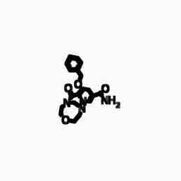 NC(=O)C1=CN2C(=C(OCc3ccccc3)C1)C(=O)N1CCOCCN2C1